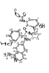 COC(=O)Nc1ccc(S)c([C@H]2CCCN2C(=O)[C@H](Nc2ccc3c(N)nccc3c2)c2cccc(O)c2)c1